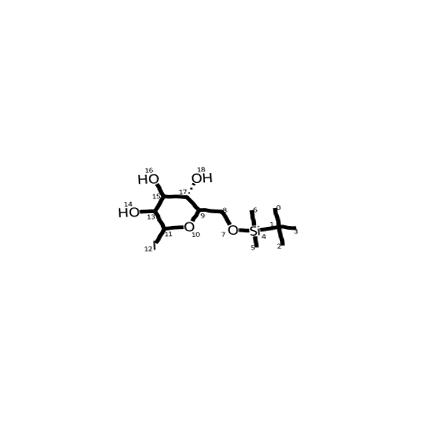 CC(C)(C)[Si](C)(C)OCC1OC(I)C(O)C(O)[C@@H]1O